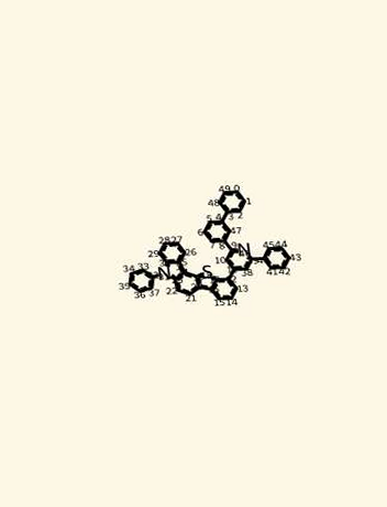 c1ccc(-c2cccc(-c3cc(-c4cccc5c4sc4c5ccc5c4c4ccccc4n5-c4ccccc4)cc(-c4ccccc4)n3)c2)cc1